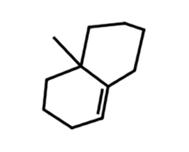 CC12CCCC=C1CCCC2